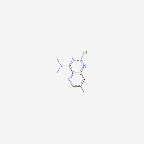 Cc1cnc2c(N(C)C)nc(Cl)nc2c1